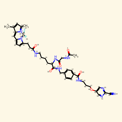 CC(=O)NCC(=O)NC(CCCCNC(=O)CCc1ccc2n1[B-](F)(F)[N+]1=C(C)C=C(C)C1=C2)C(=O)NCc1ccc(C(=O)NCCCOc2cnc(C#N)nc2)cc1